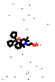 CC1(C)CC(O[Si](c2ccccc2)(c2ccccc2)c2ccccc2)CC(C)(C)N1CCO